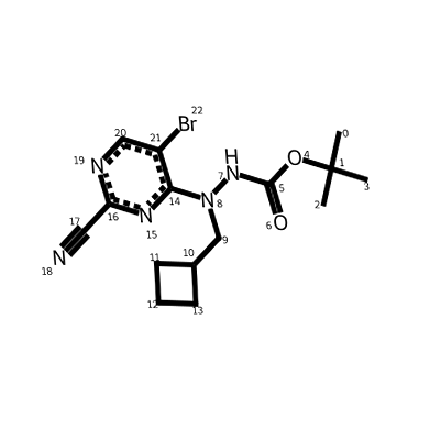 CC(C)(C)OC(=O)NN(CC1CCC1)c1nc(C#N)ncc1Br